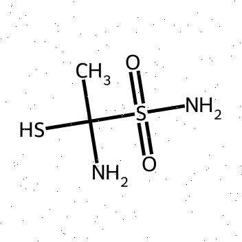 CC(N)(S)S(N)(=O)=O